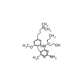 CCC[C@@H](CCO)Nc1nc(N)nc(C)c1Cc1ccc(CCCN(C)C)cc1OC